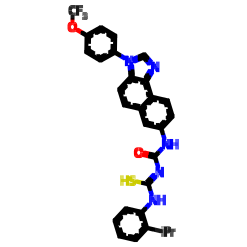 CC(C)c1ccccc1NC(S)=NC(=O)Nc1ccc2c(ccc3c2ncn3-c2ccc(OC(F)(F)F)cc2)c1